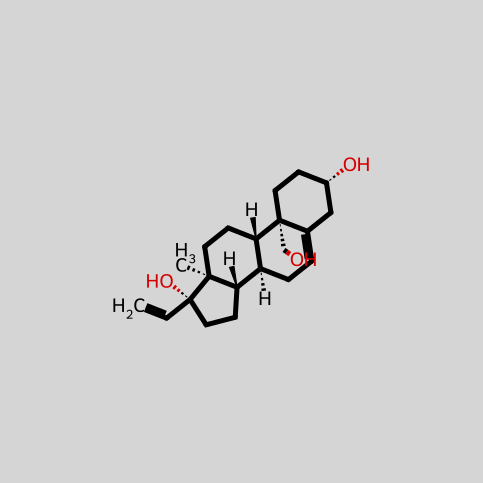 C=C[C@]1(O)CC[C@H]2[C@@H]3CC=C4C[C@@H](O)CC[C@]4(CO)[C@H]3CC[C@@]21C